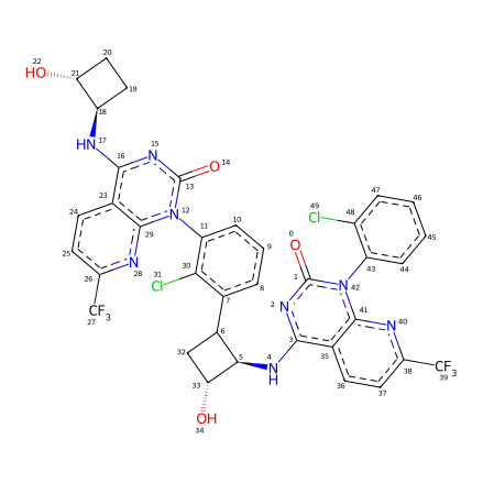 O=c1nc(N[C@@H]2C(c3cccc(-n4c(=O)nc(N[C@@H]5CC[C@H]5O)c5ccc(C(F)(F)F)nc54)c3Cl)C[C@H]2O)c2ccc(C(F)(F)F)nc2n1-c1ccccc1Cl